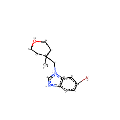 N#CC1(Cn2cnc3ccc(Br)cc32)CCOCC1